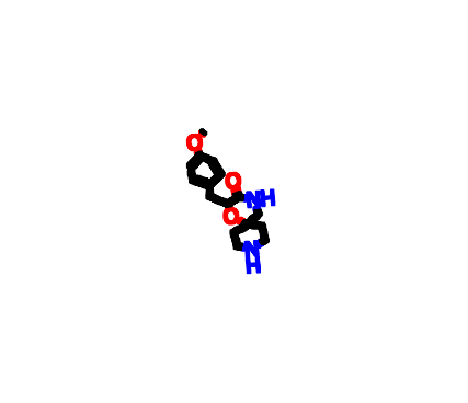 COc1ccc(CC2OC3(CCNCC3)CNC2=O)cc1